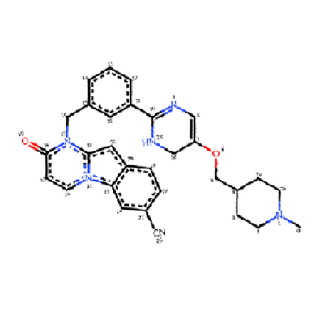 CN1CCC(COC2=CN=C(c3cccc(Cn4c(=O)ccn5c6cc(C#N)ccc6cc45)c3)NC2)CC1